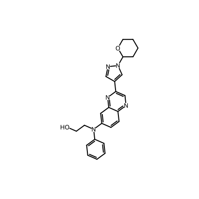 OCCN(c1ccccc1)c1ccc2ncc(-c3cnn(C4CCCCO4)c3)nc2c1